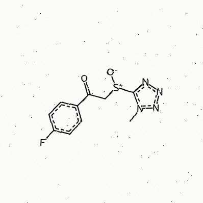 Cn1nnnc1[S+]([O-])CC(=O)c1ccc(F)cc1